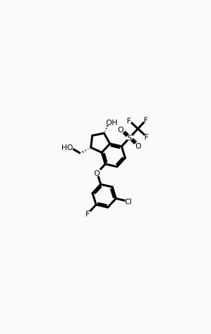 O=S(=O)(c1ccc(Oc2cc(F)cc(Cl)c2)c2c1[C@@H](O)C[C@H]2CO)C(F)(F)F